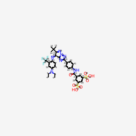 CCN(CC)c1ccc(/N=C2/C(C(C)(C)C)=Nn3nc(-c4ccc(NC(=O)c5cc(S(=O)(=O)O)cc(S(=O)(=O)O)c5)cc4)nc32)c(C(F)(F)F)c1